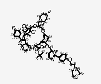 Cc1c(Cl)c2c(Cl)c(C)c1-c1c(-c3ccc(F)cc3)sc3ncnc(c13)O[C@@H](C(=O)OC(C)(C)C)Cc1cc(ccc1OCc1ccnc(-c3ccc(OCCN4CCOCC4)cc3)n1)OC[C@@H](CN1CCN(C)CC1)O2